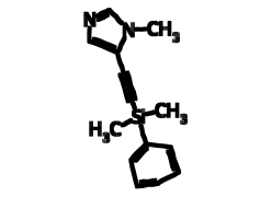 Cn1cncc1C#C[Si](C)(C)c1ccccc1